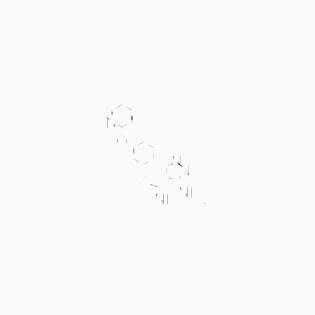 Cn1nc(-c2ccc(Oc3ccccn3)cc2)c(C(N)=O)c1N